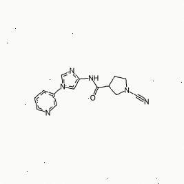 N#CN1CCC(C(=O)Nc2cn(-c3cccnc3)cn2)C1